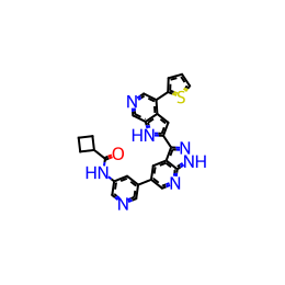 O=C(Nc1cncc(-c2cnc3[nH]nc(-c4cc5c(-c6cccs6)cncc5[nH]4)c3c2)c1)C1CCC1